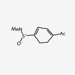 CN[S+]([O-])C1=CC=C(C(C)=O)CC1